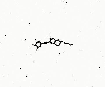 CCCCCC1CCc2cc(C#Cc3ccc(F)c(F)c3)c(F)cc2C1